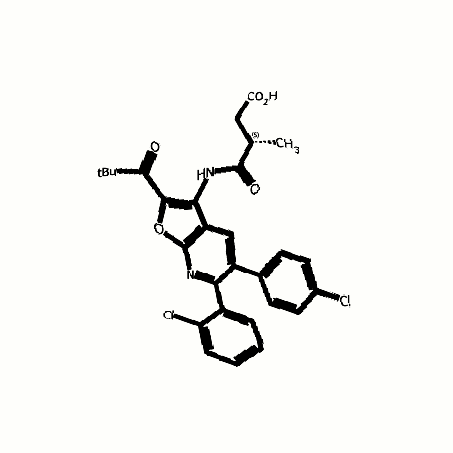 C[C@@H](CC(=O)O)C(=O)Nc1c(C(=O)C(C)(C)C)oc2nc(-c3ccccc3Cl)c(-c3ccc(Cl)cc3)cc12